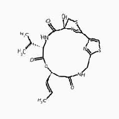 C/C=C/[C@@H]1CC(=O)NCc2nc(cs2)C2=N[C@@](C)(CS2)C(=O)N[C@@H](C(C)C)C(=O)O1